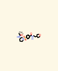 C=CC(=O)NC1CCCCN(S(=O)(=O)c2ccc(C(=O)NCCC3CCOCC3)cc2)C1